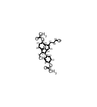 CCc1c(-c2ccc(OC(C)=O)cc2)c2cc(CCC=O)c3c(OC(C)=O)ccc1n23